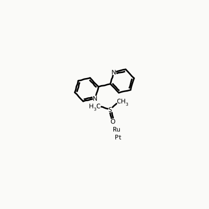 CS(C)=O.[Pt].[Ru].c1ccc(-c2ccccn2)nc1